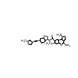 CN(C(=O)c1cc2c(cc1F)nc(N)c1cnn(C)c12)C1COc2cc(C#Cc3cnn(C)c3)ccc21